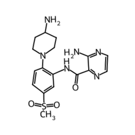 CS(=O)(=O)c1ccc(N2CCC(N)CC2)c(NC(=O)c2nccnc2N)c1